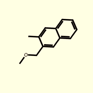 COCc1cc2ccccc2cc1C